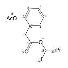 CC(=O)Oc1ccccc1CC(=O)OC(I)C(C)C